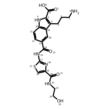 NCCCc1c(C(=O)O)[nH]c2ccc(C(=O)Nc3nc(C(=O)NCCO)cs3)cc12